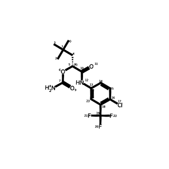 CC(C)(C)C[C@@H](OC(N)=O)C(=O)Nc1ccc(Cl)c(C(F)(F)F)c1